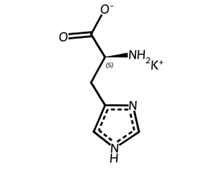 N[C@@H](Cc1c[nH]cn1)C(=O)[O-].[K+]